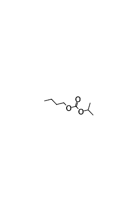 CCCCOC(=O)OC(C)C